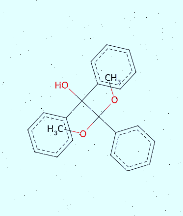 COC(OC)(c1ccccc1)C(O)(c1ccccc1)c1ccccc1